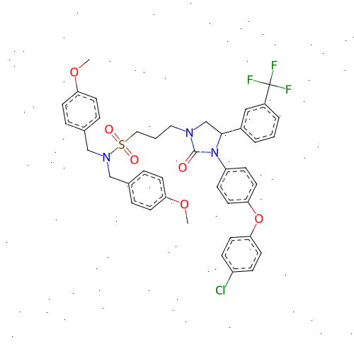 COc1ccc(CN(Cc2ccc(OC)cc2)S(=O)(=O)CCCN2CC(c3cccc(C(F)(F)F)c3)N(c3ccc(Oc4ccc(Cl)cc4)cc3)C2=O)cc1